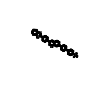 C[Si](C)(C)c1ccc(-c2ccc(-c3ccc4cc(-c5ccc(-c6nc7ccccc7o6)cc5)cnc4c3)cc2)cc1